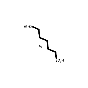 CCCCCCCCCCCS(=O)(=O)O.[Fe]